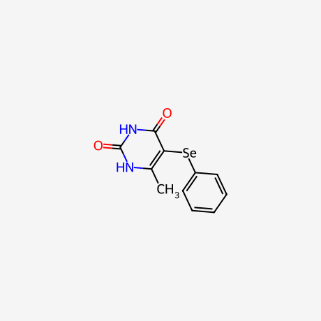 Cc1[nH]c(=O)[nH]c(=O)c1[Se]c1ccccc1